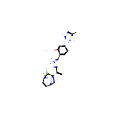 C=C(c1nnc(-c2ccc(-n3ncc(C)n3)cc2O)s1)[C@H]1C[C@]2(C)C=C[C@@](C)(N2)[C@@H]1F